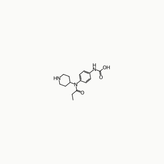 CCC(=O)N(c1ccc(NC(=O)O)cc1)C1CCNCC1